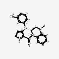 CN1CCN(C(=O)c2sccc2Oc2cccc(Cl)c2)c2ccccc21